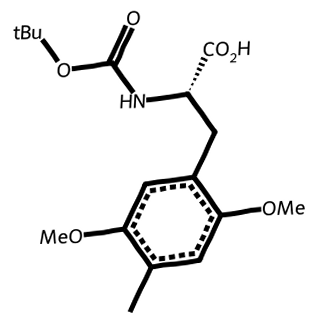 COc1cc(C[C@H](NC(=O)OC(C)(C)C)C(=O)O)c(OC)cc1C